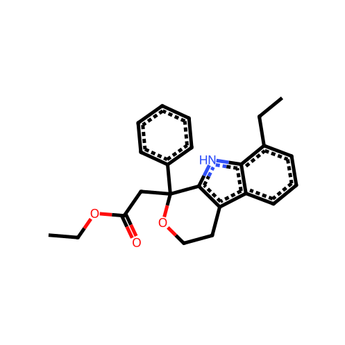 CCOC(=O)CC1(c2ccccc2)OCCc2c1[nH]c1c(CC)cccc21